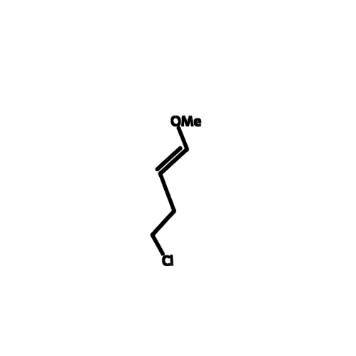 [CH2]OC=CCCCl